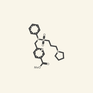 COC(=O)c1ccc(CN(c2ccccc2)S(=O)(=O)CCCN2CCCC2)nc1